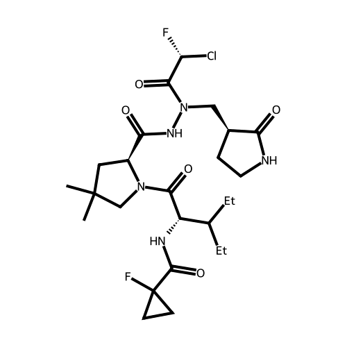 CCC(CC)[C@H](NC(=O)C1(F)CC1)C(=O)N1CC(C)(C)C[C@H]1C(=O)NN(C[C@@H]1CCNC1=O)C(=O)[C@H](F)Cl